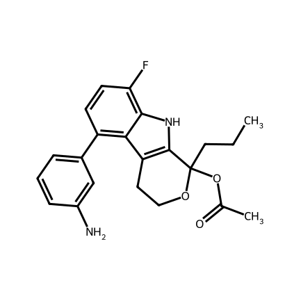 CCCC1(OC(C)=O)OCCc2c1[nH]c1c(F)ccc(-c3cccc(N)c3)c21